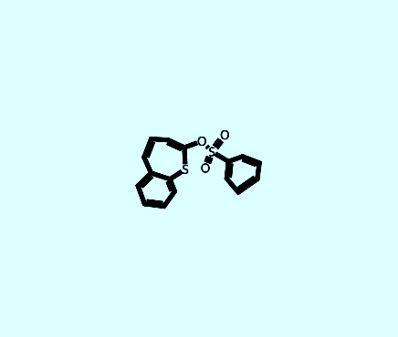 O=S(=O)(OC1=CC=Cc2ccccc2S1)c1ccccc1